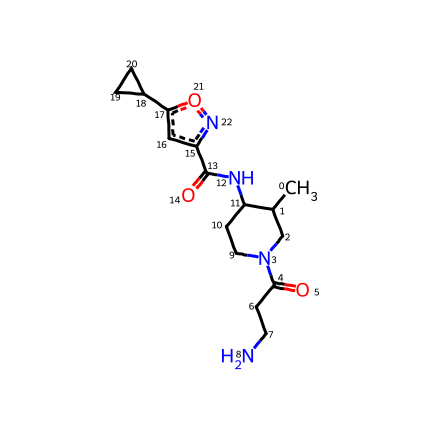 CC1CN(C(=O)CCN)CCC1NC(=O)c1cc(C2CC2)on1